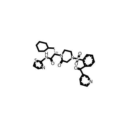 O=C(c1cccnc1)c1ccccc1S(=O)(=O)N1CCN([C@@H](CC2CCCCC2)C(=O)Nc2nccs2)C(=O)C1